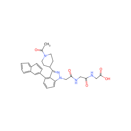 CC(=O)N1CCC(c2nn(CC(=O)NCC(=O)NCC(=O)O)c3cccc(-c4ccc5ccccc5c4)c23)CC1